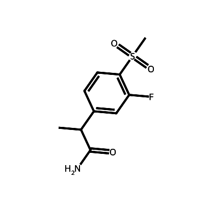 CC(C(N)=O)c1ccc(S(C)(=O)=O)c(F)c1